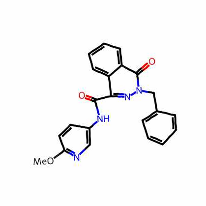 COc1ccc(NC(=O)c2nn(Cc3ccccc3)c(=O)c3ccccc23)cn1